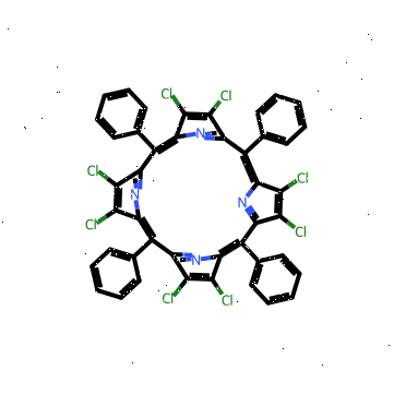 ClC1=C(Cl)C2=C(c3ccccc3)C3=NC(=C(c4ccccc4)C4=NC(=C(c5ccccc5)C5=NC(=C(c6ccccc6)C1=N2)C(Cl)=C5Cl)C(Cl)=C4Cl)C(Cl)=C3Cl